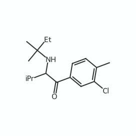 CCC(C)(C)NC(C(=O)c1ccc(C)c(Cl)c1)C(C)C